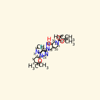 CCN(C[C@H]1CCC(C)(C)OC1)c1ncnc(NC[C@@H]2CCN(C(=O)OC(C)(C)C)C[C@H]2O)c1F